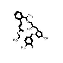 CCOC(=O)/C=C/c1ccccc1[C@@H](C)OC[C@H](O)CN1C[C@H](O)C[C@H]1Cc1ccc(C)c(F)c1